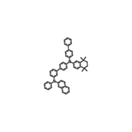 CC1(C)CCC(C)(C)c2cc(N(c3ccc(-c4ccccc4)cc3)c3ccc(-c4cccc(N(c5ccccc5)c5ccc6ccccc6c5)c4)cc3)ccc21